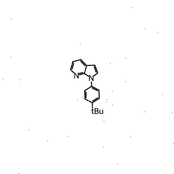 CC(C)(C)c1ccc(-n2ccc3cccnc32)cc1